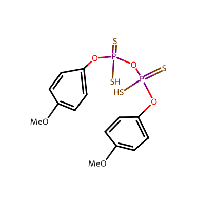 COc1ccc(OP(=S)(S)OP(=S)(S)Oc2ccc(OC)cc2)cc1